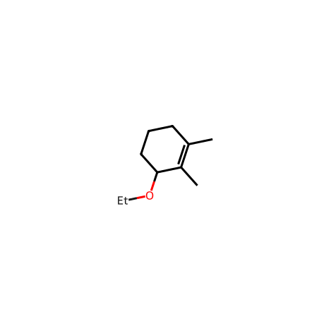 CCOC1CCCC(C)=C1C